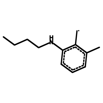 [CH2]c1c(C)cccc1NCCCC